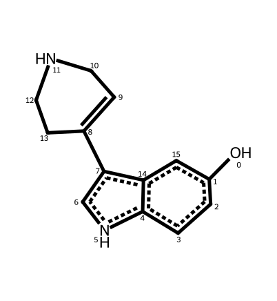 Oc1ccc2[nH]cc(C3=CCNCC3)c2c1